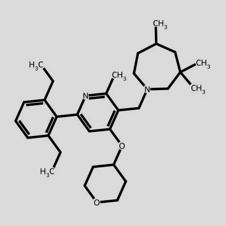 CCc1cccc(CC)c1-c1cc(OC2CCOCC2)c(CN2CCC(C)CC(C)(C)C2)c(C)n1